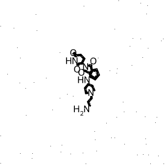 NCCCN1CCC(Nc2cccc3c2C(=O)N(C2CCC(=O)NC2=O)C3=O)CC1